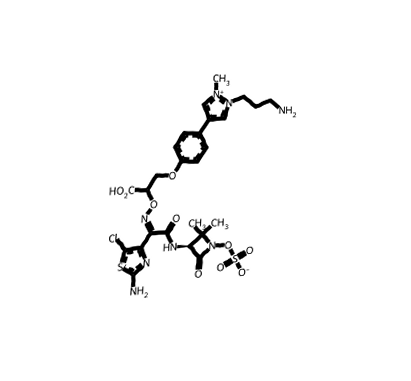 C[n+]1cc(-c2ccc(OCC(O/N=C(\C(=O)N[C@@H]3C(=O)N(OS(=O)(=O)[O-])C3(C)C)c3nc(N)sc3Cl)C(=O)O)cc2)cn1CCCN